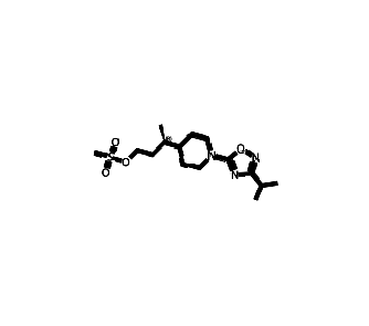 CC(C)c1noc(N2CCC([C@H](C)CCOS(C)(=O)=O)CC2)n1